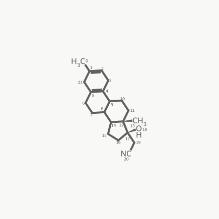 CC1=CCC2=C(CCC3C2CC[C@@]2(C)C3CC[C@@]2(O)CC#N)C1